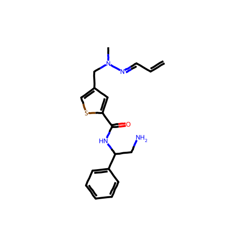 C=CC=NN(C)Cc1csc(C(=O)NC(CN)c2ccccc2)c1